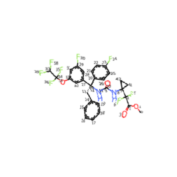 COC(=O)C(F)(F)C1(NC(=O)N[C@](Cc2ccccc2)(c2ccc(F)cc2)c2cc(F)cc(OC(F)(F)C(F)F)c2)CC1